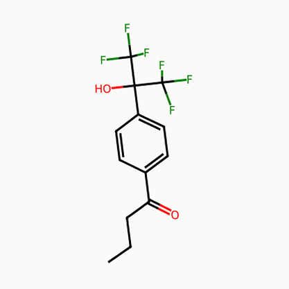 CCCC(=O)c1ccc(C(O)(C(F)(F)F)C(F)(F)F)cc1